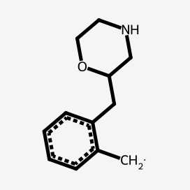 [CH2]c1ccccc1CC1CNCCO1